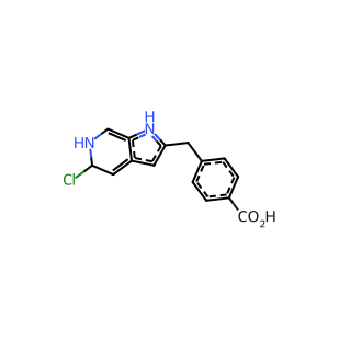 O=C(O)c1ccc(Cc2cc3c([nH]2)=CNC(Cl)C=3)cc1